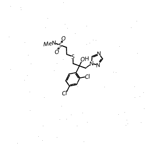 CNS(=O)(=O)CCSCC(O)(Cn1cncn1)c1ccc(Cl)cc1Cl